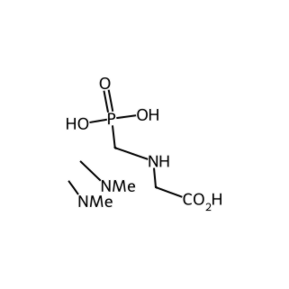 CNC.CNC.O=C(O)CNCP(=O)(O)O